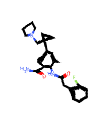 NC(=O)c1cc(C2(CN3CCCC3)CC2)ccc1NC(=O)[CH]c1ccccc1F